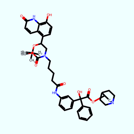 CC(C)(C)OC(=O)N(CCCCC(=O)Nc1cccc(C(O)(C(=O)OC2CN3CCC2CC3)c2ccccc2)c1)CC(O[Si](C)(C)C(C)(C)C)c1ccc(O)c2[nH]c(=O)ccc12